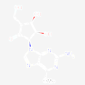 COc1nc(N)nc2c1ncn2[C@H]1C(=O)[C@H](CO)[C@@H](O)[C@H]1O